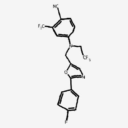 N#Cc1ccc(N(Cc2cnc(-c3ccc(F)cc3)o2)CC(F)(F)F)cc1C(F)(F)F